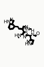 CN/N=C\C(=C/Cc1cccc2[nH]ncc12)c1sc(C(NC=O)c2cc[nH]n2)nc1NC